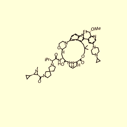 CCn1c(-c2cc(N3CCN(C4CC4)CC3)cnc2[C@H](C)OC)c2c3cc(ccc31)N1CCO[C@@H](C[C@H](NC(=O)[C@H](C(C)C)N3CC[C@]4(CCN(C(=O)[C@H]5[C@@H](C6CC6)N5C)C4)C3)C(=O)N3CCC[C@H](N3)C(=O)OCC(C)(C)C2)C1